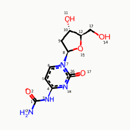 NC(=O)Nc1ccn([C@H]2C[C@H](O)[C@@H](CO)O2)c(=O)n1